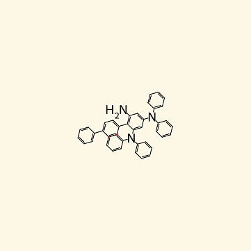 Nc1cc(N(c2ccccc2)c2ccccc2)cc(N(c2ccccc2)c2ccccc2)c1-c1ccc(-c2ccccc2)cc1